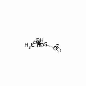 Cc1ccc(O)c(-n2nc3ccc(SCCCCCCOC(=O)C4CCCCC4)cc3n2)c1